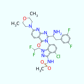 C[C@@H]1CN(c2ccc3c(=O)n(-c4ccc(Cl)c5c(NS(C)(=O)=O)nn(CC(F)F)c45)c([C@@H](N)Cc4cc(F)cc(F)c4)nc3n2)C[C@H](C)O1